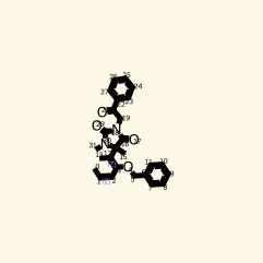 C/C=C\C(OCc1ccccc1)=C(/C)C1(C)C(=O)N(CC(=O)c2ccccc2)C(=O)N1C